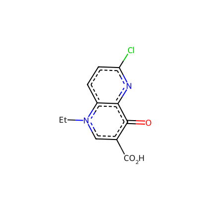 CCn1cc(C(=O)O)c(=O)c2nc(Cl)ccc21